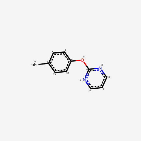 CC[CH]c1ccc(Oc2ncccn2)cc1